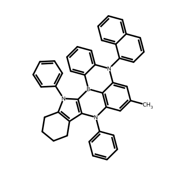 Cc1cc2c3c(c1)N(c1cccc4ccccc14)c1ccccc1B3c1c(c3c(n1-c1ccccc1)CCCC3)N2c1ccccc1